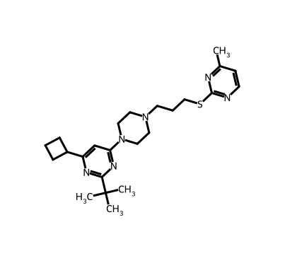 Cc1ccnc(SCCCN2CCN(c3cc(C4CCC4)nc(C(C)(C)C)n3)CC2)n1